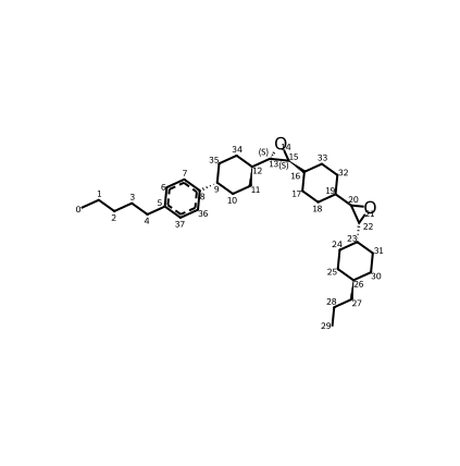 CCCCCc1ccc([C@H]2CC[C@H]([C@@H]3O[C@H]3C3CCC(C4OC4[C@H]4CC[C@H](CCC)CC4)CC3)CC2)cc1